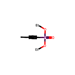 CC#CP(=O)(OCC)OCC